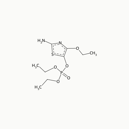 CCOc1nc(N)sc1OP(=O)(OCC)OCC